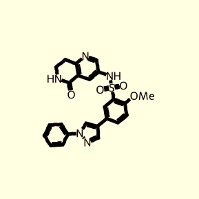 COc1ccc(-c2cnn(-c3ccccc3)c2)cc1S(=O)(=O)Nc1cnc2c(c1)C(=O)NCC2